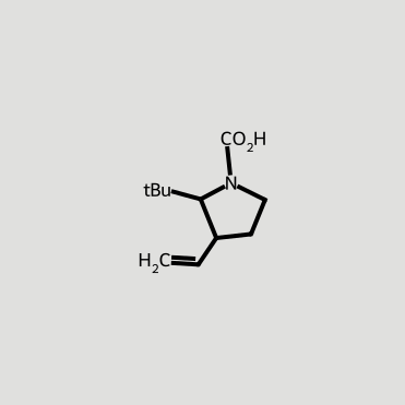 C=CC1CCN(C(=O)O)C1C(C)(C)C